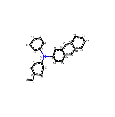 C=Cc1ccc(N(c2ccccc2)c2ccc3cc4ccccc4cc3c2)cc1